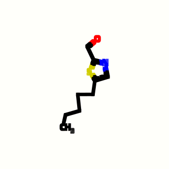 CCCCCc1cnc(C=O)s1